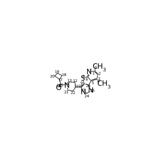 Cc1cc(C)c2c(n1)sc1c(C3CCN(C(=O)C4CCC4)CC3)ncnc12